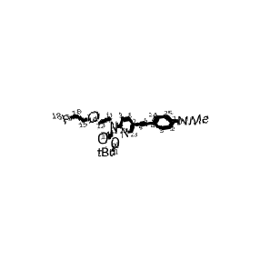 CNc1ccc(C#Cc2ccc(N(CCOCC[18F])C(=O)OC(C)(C)C)nc2)cc1